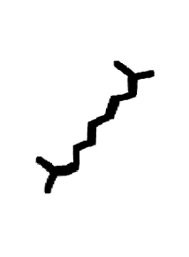 CC(C)=CC=CC=CCC=C(C)C